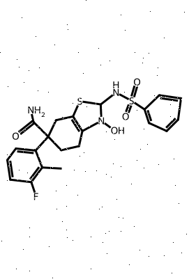 Cc1c(F)cccc1C1(C(N)=O)CCC2=C(C1)SC(NS(=O)(=O)c1ccccc1)N2O